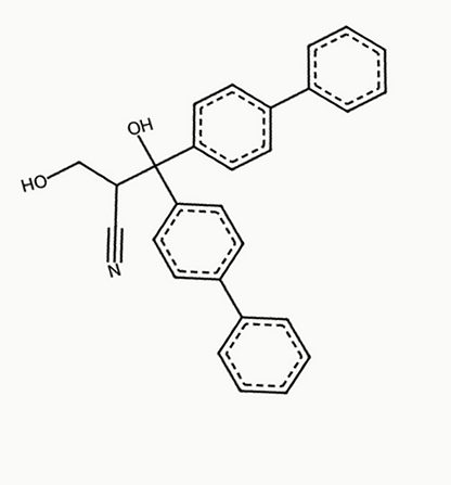 N#CC(CO)C(O)(c1ccc(-c2ccccc2)cc1)c1ccc(-c2ccccc2)cc1